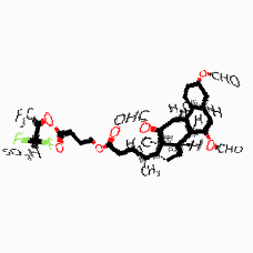 C[C@H](CCC(=O)OCCCC(=O)OC(C(F)(F)F)C(F)(F)S(=O)(=O)O)[C@H]1CC[C@H]2[C@@H]3C(OC=O)C[C@@H]4CC(OC=O)CC[C@]4(C)[C@H]3CC(OC=O)[C@]12C